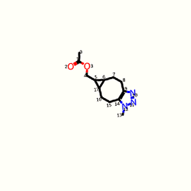 CC(=O)OCC1C2CCc3nnn(C)c3CCC21